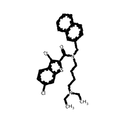 CCN(CC)CCCCN(Cc1ccc2ccccc2c1)C(=O)c1sc2cc(Cl)ccc2c1Cl